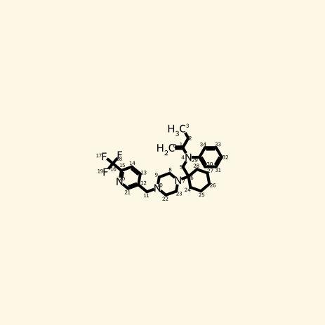 C=C(CC)N(CC1(N2CCN(Cc3ccc(C(F)(F)F)nc3)CC2)CCCCC1)c1ccccc1